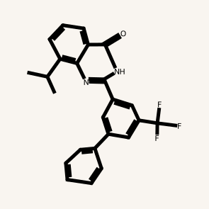 CC(C)c1cccc2c(=O)[nH]c(-c3cc(-c4ccccc4)cc(C(F)(F)F)c3)nc12